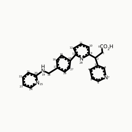 O=C(O)CC(c1cccnc1)c1cccc(-c2ccc(CNc3ccccn3)cc2)n1